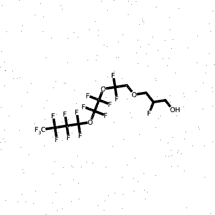 OCC(F)COCC(F)(F)OC(F)(F)C(F)(F)OC(F)(F)C(F)(F)C(F)(F)C(F)(F)F